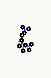 c1ccc(N(c2ccccc2)c2ccc3c(c2)N(c2ccccc2)c2cccc4c2B3c2cc3sc5c6ccc(N(c7ccccc7)c7ccccc7)cc6ccc5c3cc2O4)cc1